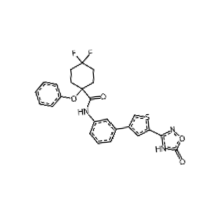 O=C(Nc1cccc(-c2csc(-c3noc(=O)[nH]3)c2)c1)C1(Oc2ccccc2)CCC(F)(F)CC1